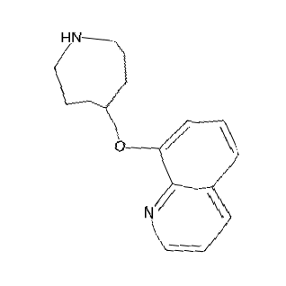 c1cnc2c(OC3CCNCC3)cccc2c1